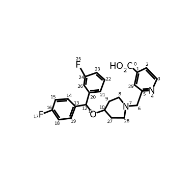 O=C(O)c1ccnc(CN2CCC(OC(c3ccc(F)cc3)c3cccc(F)c3)CC2)c1